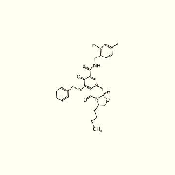 CSCC[C@@H]1CO[C@H]2Cn3cc(C(=O)NCc4ccc(F)cc4F)c(=O)c(OCc4ccccc4)c3C(=O)N12